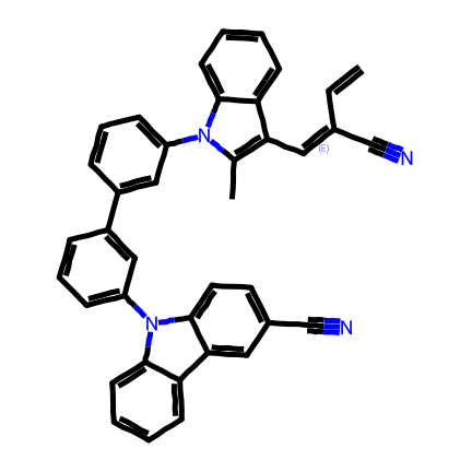 C=C/C(C#N)=C\c1c(C)n(-c2cccc(-c3cccc(-n4c5ccccc5c5cc(C#N)ccc54)c3)c2)c2ccccc12